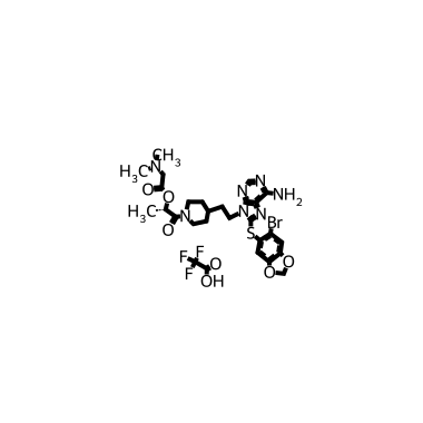 C[C@H](OC(=O)CN(C)C)C(=O)N1CCC(CCn2c(Sc3cc4c(cc3Br)OCO4)nc3c(N)ncnc32)CC1.O=C(O)C(F)(F)F